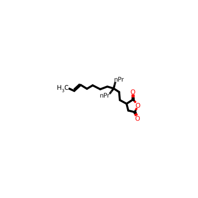 CC=CCCCCC(CCC)(CCC)CCC1CC(=O)OC1=O